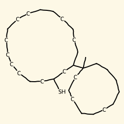 CC1(C2CCCCCCCCCCCCCCCC(S)C2)CCCCCCCCCCC1